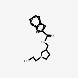 O=C(NCC1CCN(CCO)C1)c1cc2ccccc2[nH]1